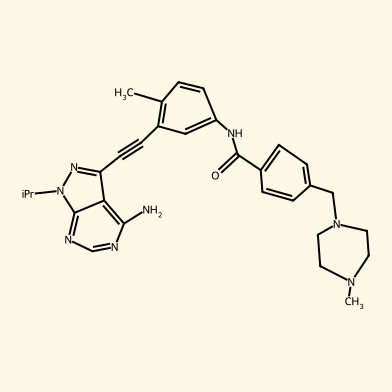 Cc1ccc(NC(=O)c2ccc(CN3CCN(C)CC3)cc2)cc1C#Cc1nn(C(C)C)c2ncnc(N)c12